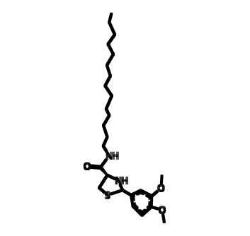 CCCCCCCCCCCCCCNC(=O)[C@@H]1CSC(c2ccc(OC)c(OC)c2)N1